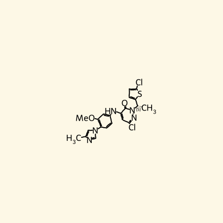 COc1cc(Nc2cc(Cl)nn([C@@H](C)c3ccc(Cl)s3)c2=O)ccc1-n1cnc(C)c1